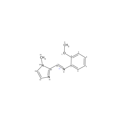 COc1ccccc1/N=C/c1nccn1C